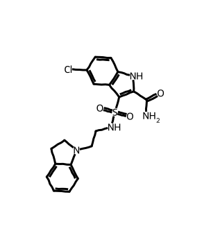 NC(=O)c1[nH]c2ccc(Cl)cc2c1S(=O)(=O)NCCN1CCc2ccccc21